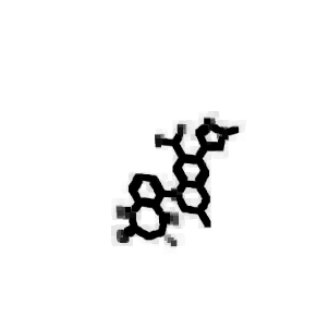 CC1Cc2cc(-c3cnn(C)c3)c(C(F)F)cc2N(c2cccc3c2N[C@H](C)CC(=O)N3)C1